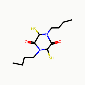 CCCCN1C(=O)C(S)N(CCCC)C(=O)C1S